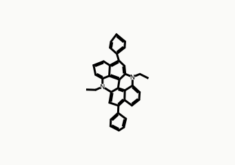 CCn1c2cc(-c3ccccc3)c3cccc4c3c2-c2c3c(cccc31)c(-c1ccccc1)cc2n4CC